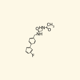 CC(=O)NCC(=O)NCc1ccc(-c2cccc(F)c2)cc1